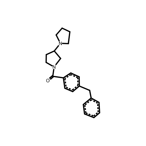 O=C(c1ccc(Cc2ccccc2)cc1)N1CCC(N2CCCC2)C1